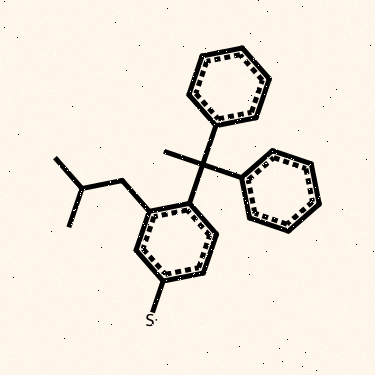 CC(C)Cc1cc([S])ccc1C(C)(c1ccccc1)c1ccccc1